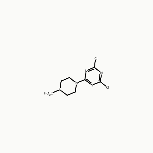 O=C(O)N1CCN(c2nc(Cl)nc(Cl)n2)CC1